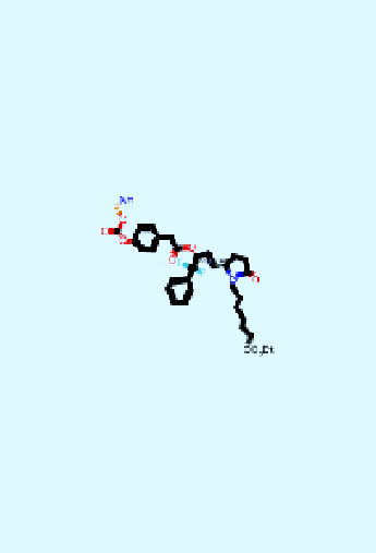 CCOC(=O)CCCCCCN1C(=O)CC[C@@H]1/C=C/[C@@H](OC(=O)Cc1ccc(OC(=O)OP=N)cc1)C(F)(F)c1ccccc1